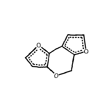 c1cc2c(o1)COc1ccoc1-2